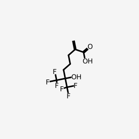 C=C(CCCC(O)(C(F)(F)F)C(F)(F)F)C(=O)O